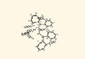 CC(=O)O.O=C([O-])c1ccccc1P(CCCP(c1ccccc1C(=O)[O-])c1ccccc1C(=O)[O-])c1ccccc1C(=O)[O-].[Pd+2].[Pd+2]